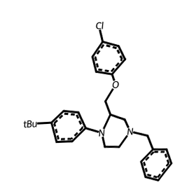 CC(C)(C)c1ccc(N2CCN(Cc3ccccc3)CC2COc2ccc(Cl)cc2)cc1